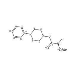 CON(C)C(=O)CC1CCC(c2ccccc2)CC1